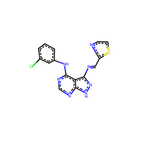 Clc1cccc(Nc2ncnc3[nH]nc(/N=C/c4nccs4)c23)c1